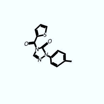 Cc1ccc(-n2ncn(C(=O)c3cccs3)c2=O)cc1